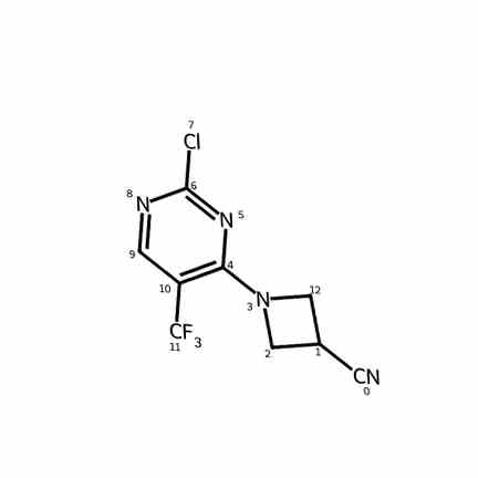 N#CC1CN(c2nc(Cl)ncc2C(F)(F)F)C1